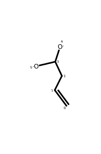 C=CCC([O])[O]